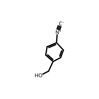 [C-]#[N+]c1ccc(CO)cc1